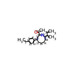 CCc1ccc(/C2=C/C(C(C)=O)=N\C(C(C)CC)=C/CCC2)cc1